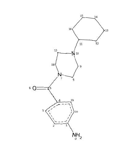 Nc1ccc(C(=O)N2CCN(C3CCCCC3)CC2)cc1